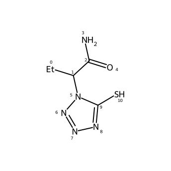 CCC(C(N)=O)n1nnnc1S